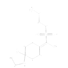 N#CC(=C1CCC2(CC1)OCCO2)S(=O)(=O)CCCC(F)(F)F